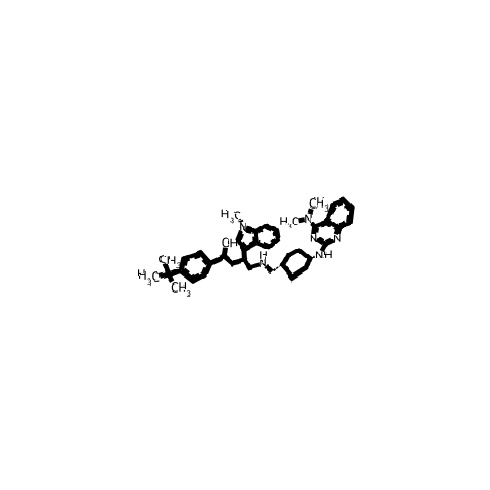 CN(C)c1nc(N[C@H]2CC[C@@H](CNCC(CC(O)c3ccc(C(C)(C)C)cc3)c3cn(C)c4ccccc34)CC2)nc2ccccc12